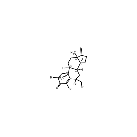 C[C@]12CC(Br)C(=O)C(Br)=C1C(Br)(CBr)C[C@@H]1[C@@H]2CC[C@]2(C)C(=O)CC[C@@H]12